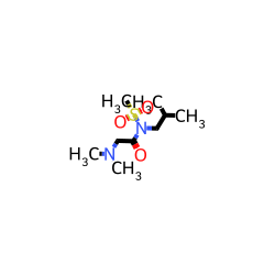 CC(C)CN(C(=O)CN(C)C)S(C)(=O)=O